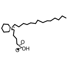 CCCCCCCCCCCCCC[N+]1(CCCCS(=O)(=O)O)CCCCC1